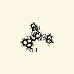 Oc1cc(-c2cnc3c(N4CC5CCC(C4)N5)nc(OCC45CCCN4CCC5)nc3c2)c2c(Cl)cccc2c1